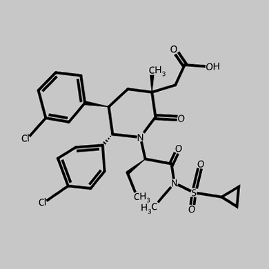 CC[C@H](C(=O)N(C)S(=O)(=O)C1CC1)N1C(=O)[C@@](C)(CC(=O)O)C[C@H](c2cccc(Cl)c2)[C@H]1c1ccc(Cl)cc1